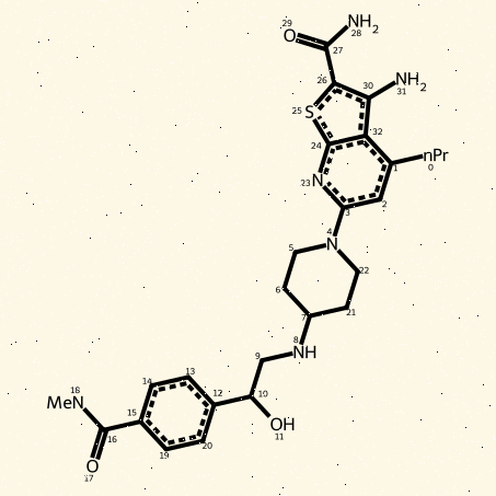 CCCc1cc(N2CCC(NCC(O)c3ccc(C(=O)NC)cc3)CC2)nc2sc(C(N)=O)c(N)c12